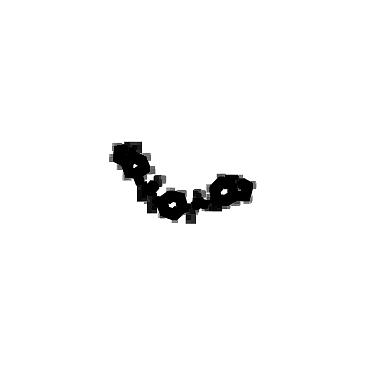 S=C(Nc1ccc(NC(=S)Nc2ccc3[nH]ccc3c2)cc1)Nc1ccc2[nH]ccc2c1